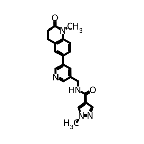 CN1C(=O)CCc2cc(-c3cncc(CNC(=O)c4cnn(C)c4)c3)ccc21